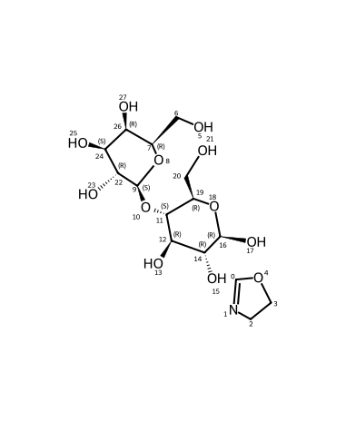 C1=NCCO1.OC[C@H]1O[C@@H](O[C@H]2[C@H](O)[C@@H](O)[C@H](O)O[C@@H]2CO)[C@H](O)[C@@H](O)[C@H]1O